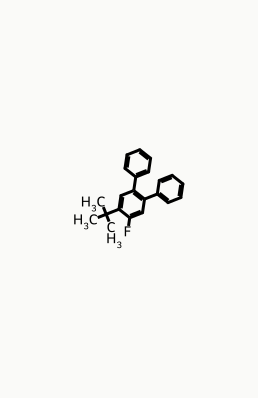 CC(C)(C)c1cc(-c2ccccc2)c(-c2ccccc2)cc1F